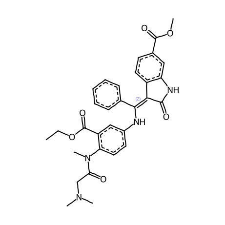 CCOC(=O)c1cc(N/C(=C2\C(=O)Nc3cc(C(=O)OC)ccc32)c2ccccc2)ccc1N(C)C(=O)CN(C)C